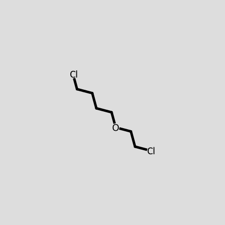 ClCCCCOCCCl